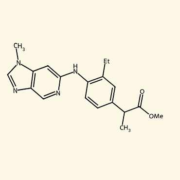 CCc1cc(C(C)C(=O)OC)ccc1Nc1cc2c(cn1)ncn2C